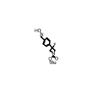 CC(C)(C)OC(=O)N1CC(F)(c2ccc(/C=N/O)cc2)C1